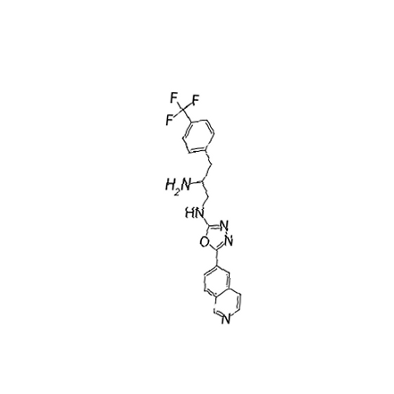 NC(CNc1nnc(-c2ccc3cnccc3c2)o1)Cc1ccc(C(F)(F)F)cc1